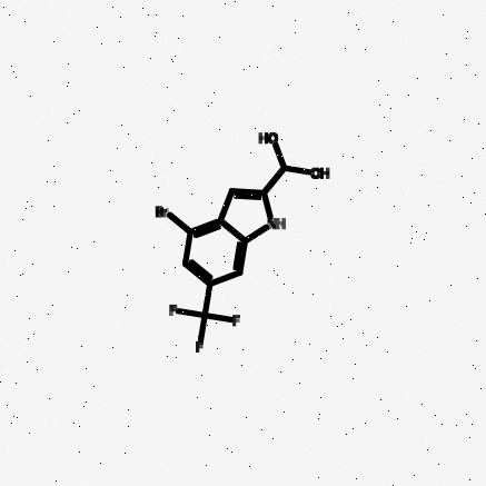 OC(O)c1cc2c(Br)cc(C(F)(F)F)cc2[nH]1